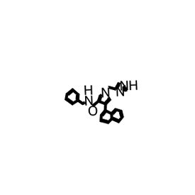 O=C(NCc1ccccc1)c1cn(Cc2c[nH]cn2)cc1-c1cccc2ccccc12